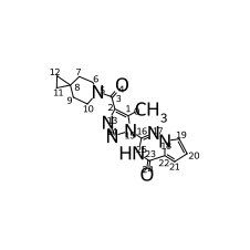 Cc1c(C(=O)N2CCC3(CC2)CC3)nnn1-c1nn2cccc2c(=O)[nH]1